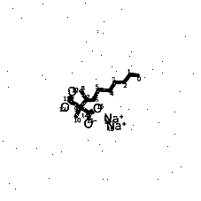 CCCCCCCC(C)C(C)(C(=O)[O-])C(=O)[O-].[Na+].[Na+]